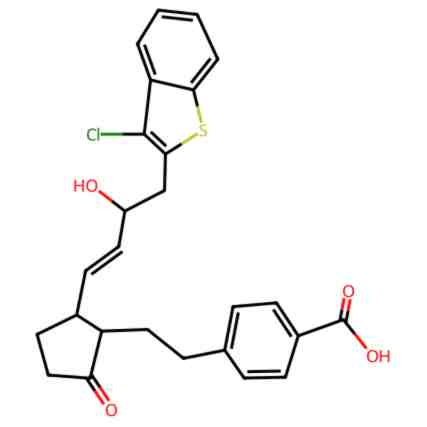 O=C(O)c1ccc(CCC2C(=O)CCC2/C=C/C(O)Cc2sc3ccccc3c2Cl)cc1